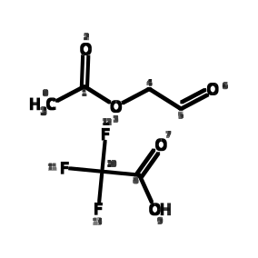 CC(=O)OCC=O.O=C(O)C(F)(F)F